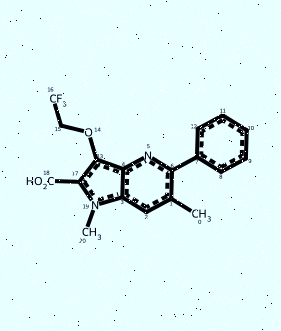 Cc1cc2c(nc1-c1ccccc1)c(OCC(F)(F)F)c(C(=O)O)n2C